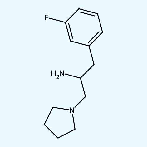 NC(Cc1cccc(F)c1)CN1CCCC1